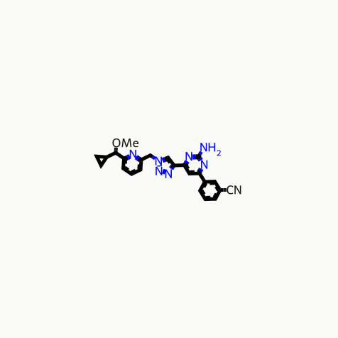 COC(c1cccc(Cn2cc(-c3cc(-c4cccc(C#N)c4)nc(N)n3)nn2)n1)C1CC1